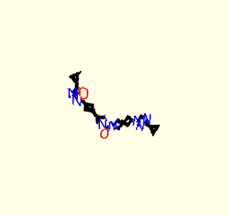 O=C(N1CC(C23CC(c4nnc(C5CC5)o4)(C2)C3)C1)N1CC2(CC(n3cnc(C4CC4)n3)C2)C1